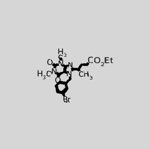 CCOC(=O)CCC(C)c1nc2c(c(=O)n(C)c(=O)n2C)n1Cc1cccc(Br)c1